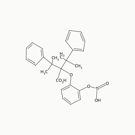 CC(C)(c1ccccc1)C(Oc1ccccc1[O][Ti](=[O])[OH])(C(=O)O)C(C)(C)c1ccccc1